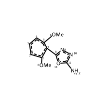 COc1cccc(OC)c1-c1nnc(N)o1